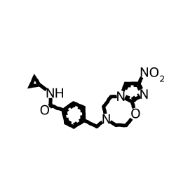 O=C(NC1CC1)c1ccc(CN2CCOc3nc([N+](=O)[O-])cn3CC2)cc1